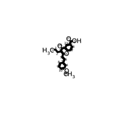 CCCc1c(/C=C/c2cccc(OC)c2)oc2ccc(C(=O)O)cc2c1=O